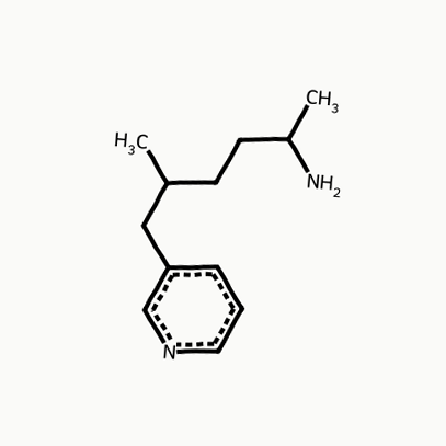 CC(N)CCC(C)Cc1cccnc1